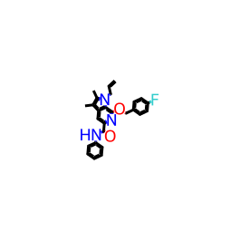 C=CCn1c(C)c(C)c2cc(C(=O)Nc3ccccc3)nc(OCc3ccc(F)cc3)c21